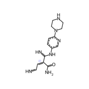 N=C/C=C(/C(=N)Nc1ccc(N2CCNCC2)nc1)C(N)=O